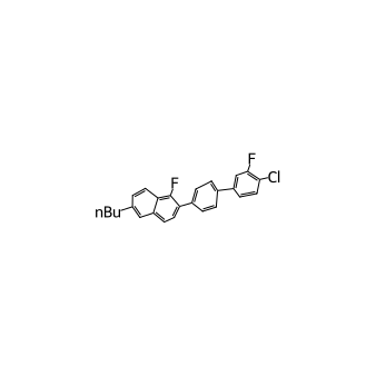 CCCCc1ccc2c(F)c(-c3ccc(-c4ccc(Cl)c(F)c4)cc3)ccc2c1